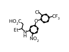 CCC(CC(=O)O)Nc1cc(Oc2ccc(C(F)(F)F)cc2Cl)ccc1[N+](=O)[O-]